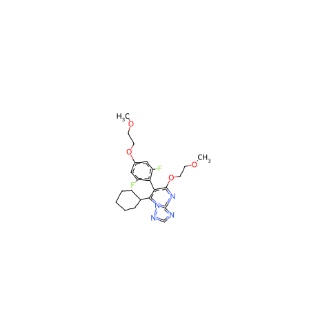 COCCOc1cc(F)c(-c2c(OCCOC)nc3ncnn3c2C2CCCCC2)c(F)c1